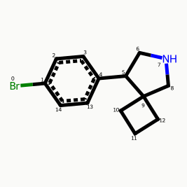 Brc1ccc(C2CNCC23CCC3)cc1